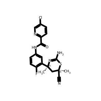 C[C@]1(C#N)C[C@@](C)(c2cc(NC(=O)c3ccc(Cl)cn3)ccc2F)N=C(N)S1